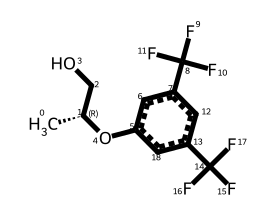 C[C@H](CO)Oc1cc(C(F)(F)F)cc(C(F)(F)F)c1